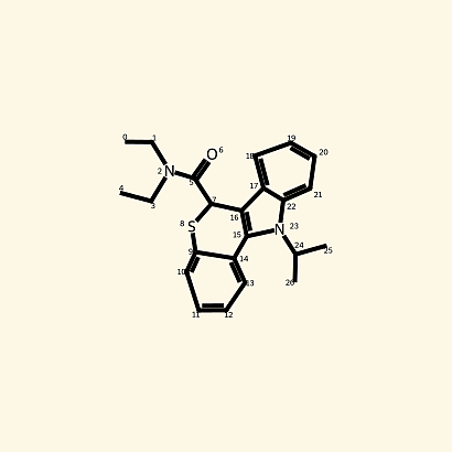 CCN(CC)C(=O)C1Sc2ccccc2-c2c1c1ccccc1n2C(C)C